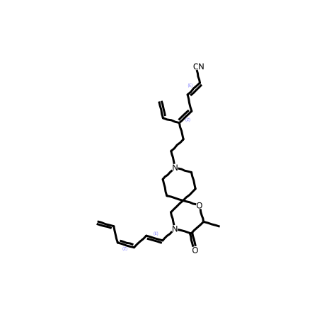 C=C/C=C\C=C\N1CC2(CCN(CC/C(C=C)=C/C=C/C#N)CC2)OC(C)C1=O